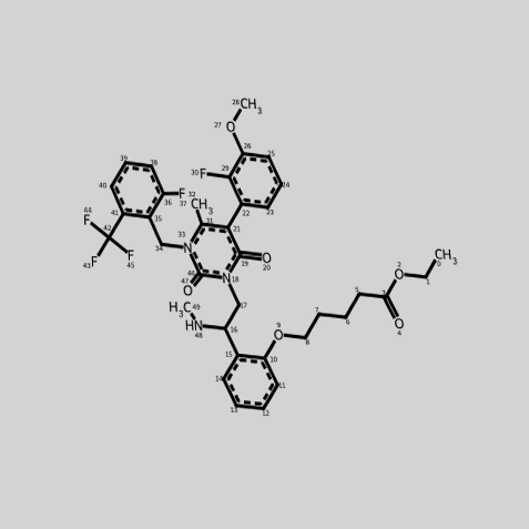 CCOC(=O)CCCCOc1ccccc1C(Cn1c(=O)c(-c2cccc(OC)c2F)c(C)n(Cc2c(F)cccc2C(F)(F)F)c1=O)NC